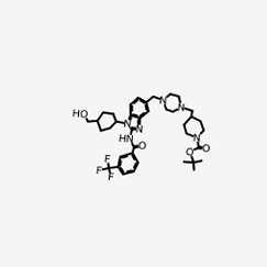 CC(C)(C)OC(=O)N1CCC(CN2CCN(Cc3ccc4c(c3)nc(NC(=O)c3cccc(C(F)(F)F)c3)n4C3CCC(CO)CC3)CC2)CC1